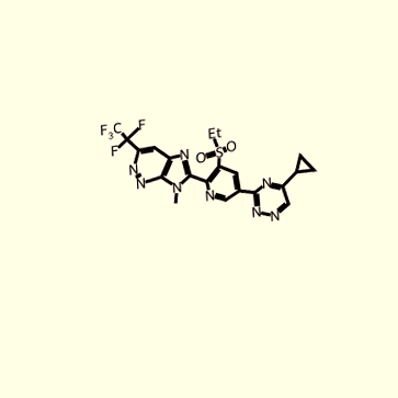 CCS(=O)(=O)c1cc(-c2nncc(C3CC3)n2)cnc1-c1nc2cc(C(F)(F)C(F)(F)F)nnc2n1C